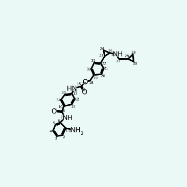 Nc1ccccc1NC(=O)c1ccc(NC(=O)OCc2ccc(C3CC3NCC3CC3)cc2)cc1